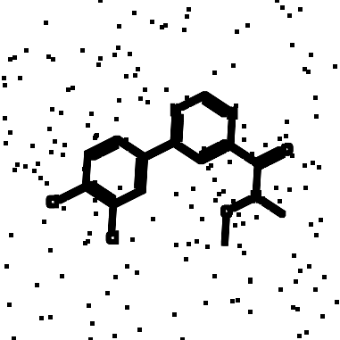 CON(C)C(=O)c1cc(-c2ccc(Cl)c(Cl)c2)ncn1